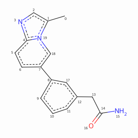 Cc1cnc2ccc(-c3cccc(CC(N)=O)c3)cn12